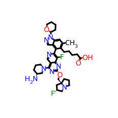 Cc1cc2c(cnn2C2CCCCO2)c(-c2ncc3c(N4CCC[C@@H](N)C4)nc(OC[C@@]45CCCN4C[C@H](F)C5)nc3c2F)c1CCCCC(=O)O